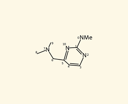 CNc1nccc(CN(C)C)n1